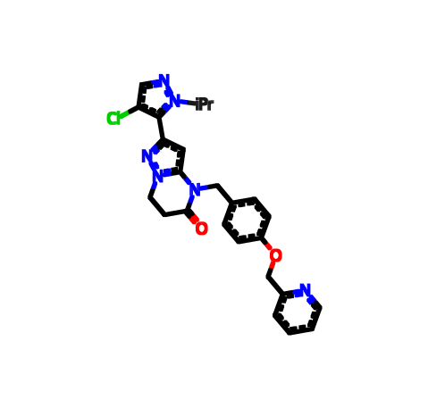 CC(C)n1ncc(Cl)c1-c1cc2n(n1)CCC(=O)N2Cc1ccc(OCc2ccccn2)cc1